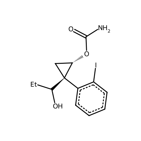 CCC(O)[C@@]1(c2ccccc2I)C[C@@H]1OC(N)=O